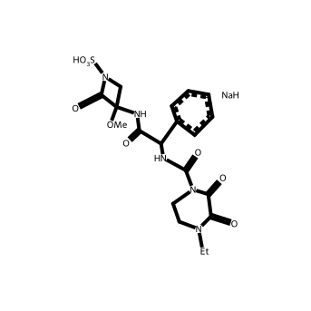 CCN1CCN(C(=O)NC(C(=O)NC2(OC)CN(S(=O)(=O)O)C2=O)c2ccccc2)C(=O)C1=O.[NaH]